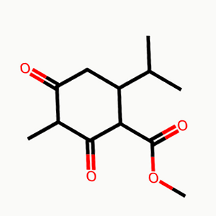 COC(=O)C1C(=O)C(C)C(=O)CC1C(C)C